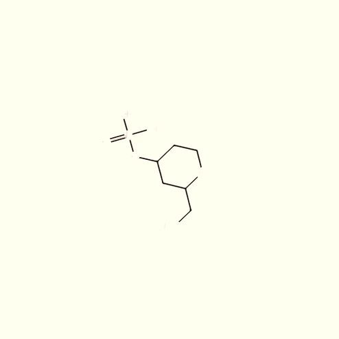 O=P(O)(O)OC1CCOC(CO)C1